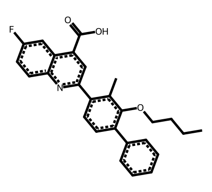 CCCCOc1c(-c2ccccc2)ccc(-c2cc(C(=O)O)c3cc(F)ccc3n2)c1C